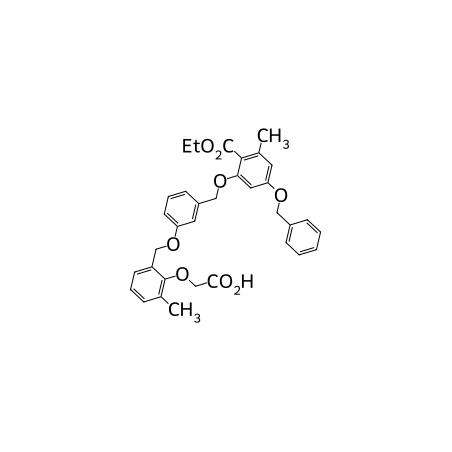 CCOC(=O)c1c(C)cc(OCc2ccccc2)cc1OCc1cccc(OCc2cccc(C)c2OCC(=O)O)c1